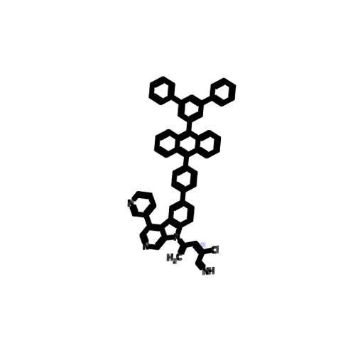 C=C(/C=C(/Cl)C=N)n1c2ccc(-c3ccc(-c4c5ccccc5c(-c5cc(-c6ccccc6)cc(-c6ccccc6)c5)c5ccccc45)cc3)cc2c2c(-c3cccnc3)cncc21